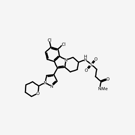 CNC(=O)CCS(=O)(=O)NC1CCc2c(-c3cnn(C4CCCCO4)c3)c3ccc(Cl)c(Cl)c3n2C1